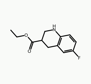 CCOC(=O)C1CNc2ccc(F)cc2C1